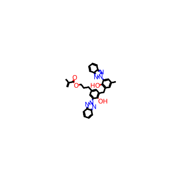 C=C(C)C(=O)OCCCc1cc(Cc2cc(C)cc(-n3nc4ccccc4n3)c2O)c(O)c(-n2nc3ccccc3n2)c1